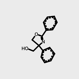 OCC1(c2ccccc2)COC(c2ccccc2)=N1